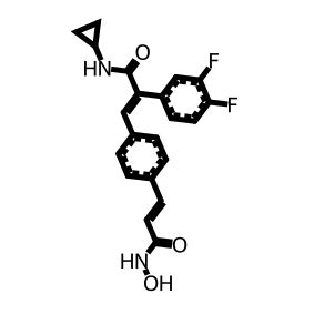 O=C(/C=C/c1ccc(/C=C(/C(=O)NC2CC2)c2ccc(F)c(F)c2)cc1)NO